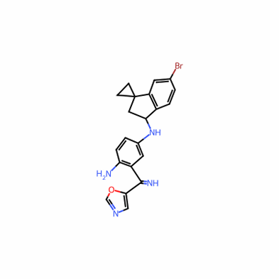 N=C(c1cnco1)c1cc(NC2CC3(CC3)c3cc(Br)ccc32)ccc1N